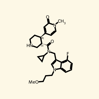 COCCCn1cc(CN(C(=O)[C@@H]2CNCC[C@H]2c2ccn(C)c(=O)c2)C2CC2)c2c(F)cccc21